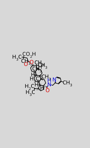 C=C(C)[C@@H]1CC[C@]2(C(=O)NCc3cc(C)ccn3)CC[C@]3(C)[C@H](CC[C@@H]4[C@@]5(C)CC[C@H](OC(=O)CC(C)(C)C(=O)O)C(C)(C)[C@@H]5CC[C@]43C)[C@@H]12